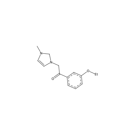 CCOc1cccc(C(=O)CN2C=CN(C)C2)c1